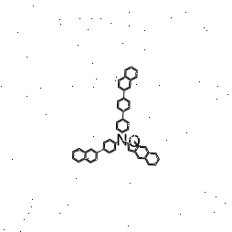 c1ccc2cc(-c3ccc(-c4ccc(N(c5ccc(-c6ccc7ccccc7c6)cc5)c5cc6cc7ccccc7cc6o5)cc4)cc3)ccc2c1